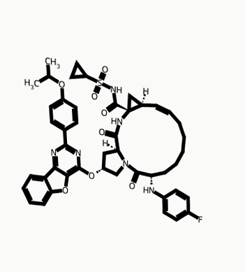 CC(C)Oc1ccc(-c2nc(O[C@@H]3C[C@H]4C(=O)N[C@]5(C(=O)NS(=O)(=O)C6CC6)C[C@H]5/C=C\CCCCC[C@H](Nc5ccc(F)cc5)C(=O)N4C3)c3oc4ccccc4c3n2)cc1